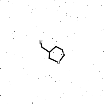 BrCC1CCCOC1